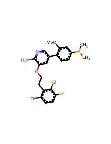 COc1cc(P(C)C)ccc1-c1cnc(N)c(OCCc2c(Cl)ccc(F)c2Cl)c1